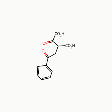 O=C(O)C(=O)C(CC(=O)c1ccccc1)C(=O)O